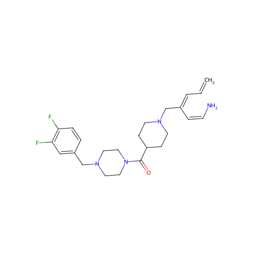 C=C/C=C(\C=C/N)CN1CCC(C(=O)N2CCN(Cc3ccc(F)c(F)c3)CC2)CC1